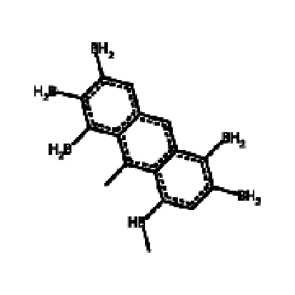 Bc1cc2cc3c(B)c(B)cc(BC)c3c(C)c2c(B)c1B